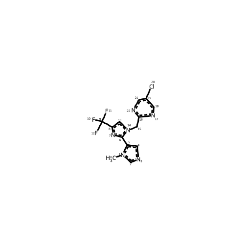 Cn1cncc1-c1nc(C(F)(F)F)cn1Cc1ncc(Cl)cn1